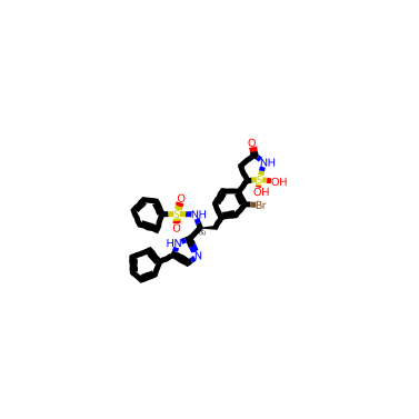 O=C1CC(c2ccc(C[C@H](NS(=O)(=O)c3ccccc3)c3ncc(-c4ccccc4)[nH]3)cc2Br)S(O)(O)N1